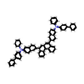 c1ccc(-c2ccc(N(c3ccccc3)c3ccc4cc(-c5cc6cc(-c7ccc8cc(N(c9ccccc9)c9ccc(-c%10ccccc%10)cc9)ccc8c7)c7ccccc7c6c6ccccc56)ccc4c3)cc2)cc1